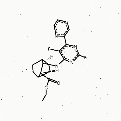 CCOC(=O)[C@@H]1C2CCC(CC2)[C@H]1Nc1nc(Br)nc(-c2ccccn2)c1F